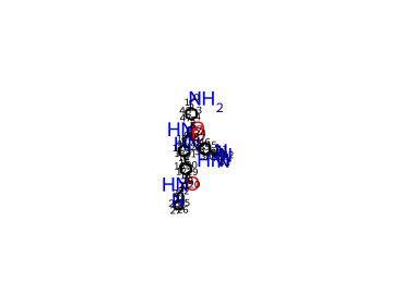 NC[C@H]1CC[C@H](C(=O)NC(Cc2ccc(-c3ccc(C(=O)NCCN4CCCC4)cc3)cc2)C(=O)Nc2ccc(-c3nnn[nH]3)cc2)CC1